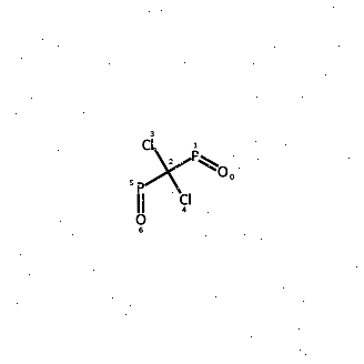 O=PC(Cl)(Cl)P=O